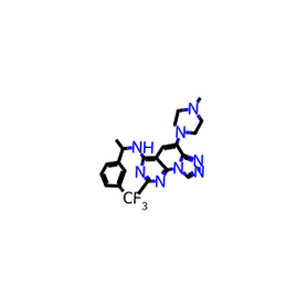 Cc1nc(NC(C)c2cccc(C(F)(F)F)c2)c2cc(N3CCN(C)CC3)c3nncn3c2n1